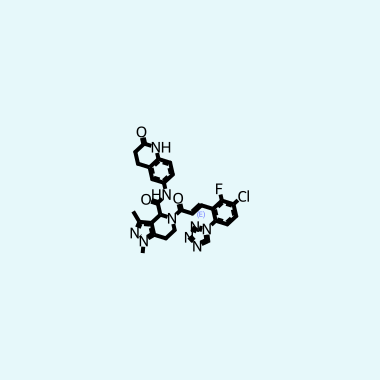 Cc1nn(C)c2c1C(C(=O)Nc1ccc3c(c1)CCC(=O)N3)N(C(=O)/C=C/c1c(-n3cnnn3)ccc(Cl)c1F)CC2